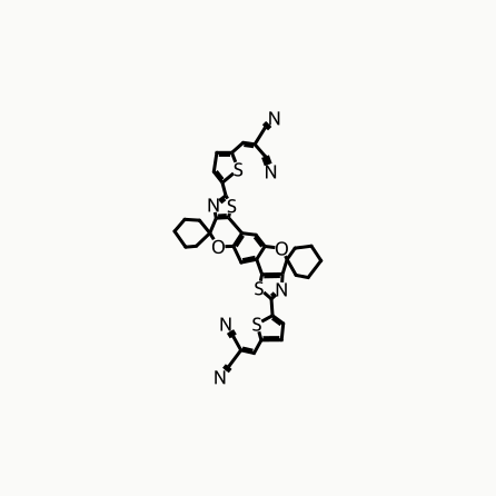 N#CC(C#N)=Cc1ccc(-c2nc3c(s2)-c2cc4c(cc2OC32CCCCC2)-c2sc(-c3ccc(C=C(C#N)C#N)s3)nc2C2(CCCCC2)O4)s1